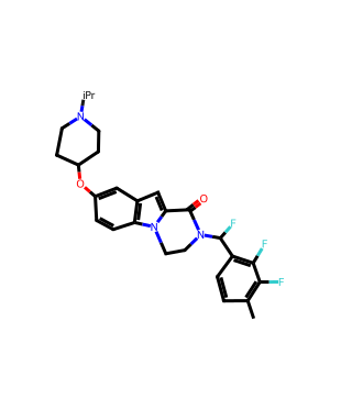 Cc1ccc(C(F)N2CCn3c(cc4cc(OC5CCN(C(C)C)CC5)ccc43)C2=O)c(F)c1F